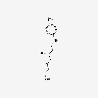 Nc1ccc(NCCC(O)CNCCO)cc1